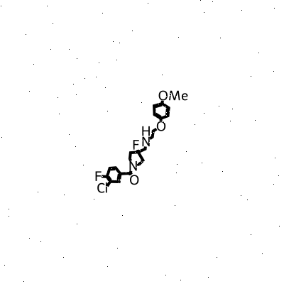 COc1ccc(OCCNCC2(F)CCN(C(=O)c3ccc(F)c(Cl)c3)CC2)cc1